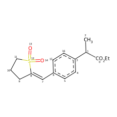 CCOC(=O)C(C)c1ccc(/C=C2/CCCS2(=O)=O)cc1